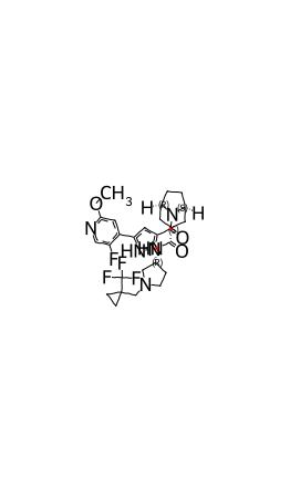 COc1cc(-c2cc(C(=O)N3[C@@H]4CC[C@H]3C[C@H](C(=O)N[C@@H]3CCN(CC5(C(F)(F)F)CC5)C3)C4)n[nH]2)c(F)cn1